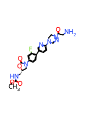 COC(=O)NC[C@H]1CN(c2ccc(-c3ccc(N4C=NN(C(=O)CN)CC4)nc3)c(F)c2)C(=O)O1